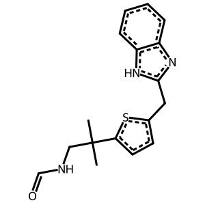 CC(C)(CNC=O)c1ccc(Cc2nc3ccccc3[nH]2)s1